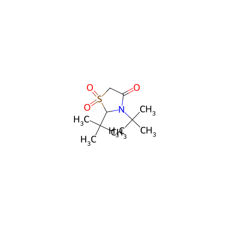 CC(C)(C)C1N(C(C)(C)C)C(=O)CS1(=O)=O